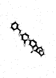 Cn1c2c(c3ccc(-n4ccc(OCc5ccccc5)cc4=O)cc31)CN1CCC2C1